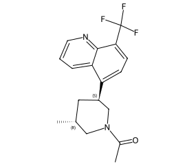 CC(=O)N1C[C@H](C)C[C@@H](c2ccc(C(F)(F)F)c3ncccc23)C1